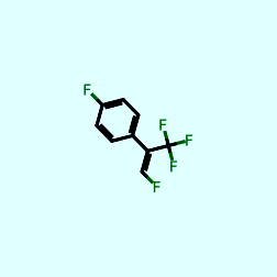 FC=C(c1ccc(F)cc1)C(F)(F)F